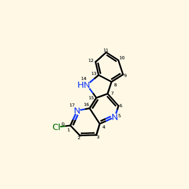 Clc1ccc2ncc3c4ccccc4[nH]c3c2n1